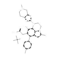 Cc1ccc(-c2c([C@H](OC(C)(C)C)C(=O)O)c(Cl)c3c4c2cc(C)n4CCN3c2nc3c(s2)CN(C)CC3)cc1